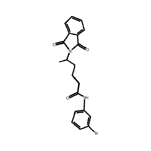 CC(CCCC(=O)Nc1cccc(Br)c1)N1C(=O)c2ccccc2C1=O